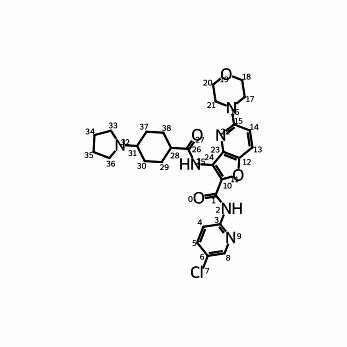 O=C(Nc1ccc(Cl)cn1)c1oc2ccc(N3CCOCC3)nc2c1NC(=O)C1CCC(N2CCCC2)CC1